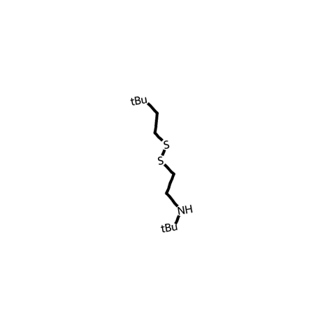 CC(C)(C)CCSSCCNC(C)(C)C